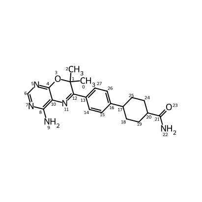 CC1(C)Oc2ncnc(N)c2N=C1c1ccc(C2CCC(C(N)=O)CC2)cc1